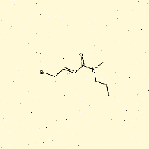 CCCN(C)C(=O)/C=C/CBr